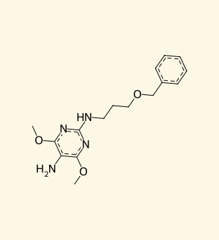 COc1nc(NCCCOCc2ccccc2)nc(OC)c1N